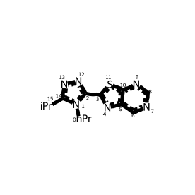 CCCn1c(-c2nc3cncnc3s2)nnc1C(C)C